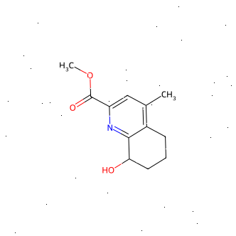 COC(=O)c1cc(C)c2c(n1)C(O)CCC2